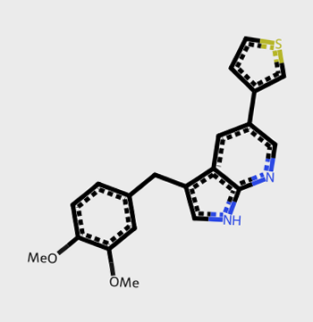 COc1ccc(Cc2c[nH]c3ncc(-c4ccsc4)cc23)cc1OC